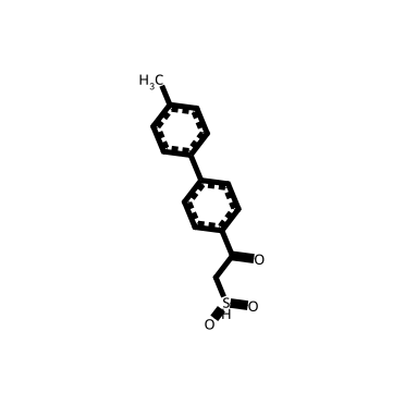 Cc1ccc(-c2ccc(C(=O)C[SH](=O)=O)cc2)cc1